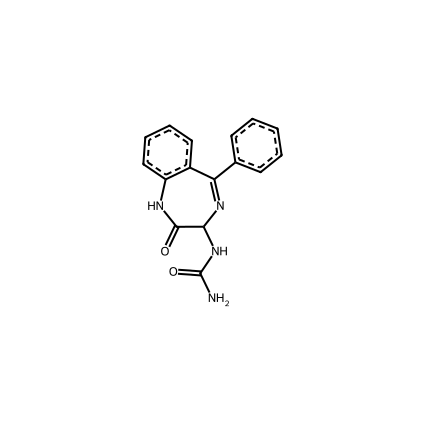 NC(=O)NC1N=C(c2ccccc2)c2ccccc2NC1=O